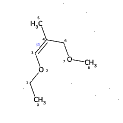 CCO/C=C(/C)COC